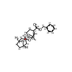 CC(C)(C)OC(=O)N1[C@@H]2CC[C@H]1C[C@@H](N1CCC(C(=O)OCc3ccccc3)CC1)C2